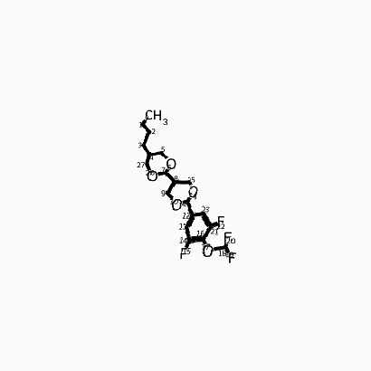 CCCCC1COC(C2COC(c3cc(F)c(OC(F)F)c(F)c3)OC2)OC1